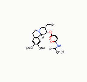 COc1cc2c(cc1OC)[C@H]1C[C@@H](OC(=O)/C=C\C(=O)NC(C(=O)O)C(C)C)[C@H](CC(C)C)CN1CC2